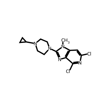 Cn1c(N2CCN(C3CC3)CC2)nc2c(Cl)nc(Cl)cc21